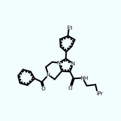 CCc1ccc(-c2nc(C(=O)NCCC(C)C)c3n2CCN(C(=O)c2ccccc2)C3)cc1